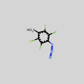 [N-]=[N+]=Nc1c(F)c(F)c(S(=O)(=O)O)c(F)c1F